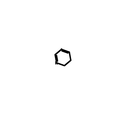 [C]1=CCCN=C1